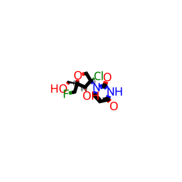 O=c1ccn([C@@]2(Cl)CO[C@@](CO)(CF)[C@H]2O)c(=O)[nH]1